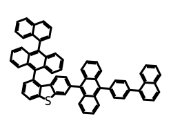 c1ccc2c(-c3ccc(-c4c5ccccc5c(-c5ccc6c(c5)sc5cccc(-c7c8ccccc8c(-c8cccc9ccccc89)c8ccccc78)c56)c5ccccc45)cc3)cccc2c1